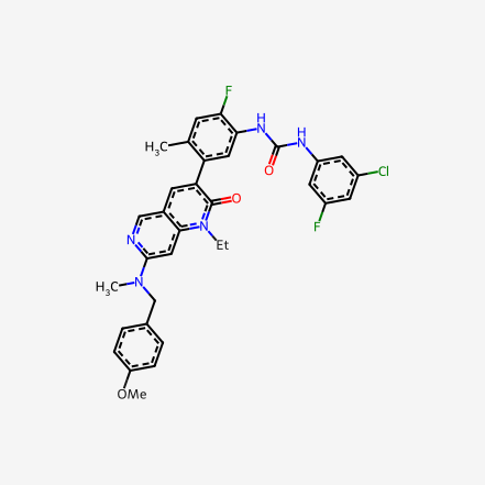 CCn1c(=O)c(-c2cc(NC(=O)Nc3cc(F)cc(Cl)c3)c(F)cc2C)cc2cnc(N(C)Cc3ccc(OC)cc3)cc21